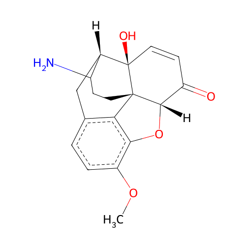 COc1ccc2c3c1O[C@H]1C(=O)C=C[C@@]4(O)[C@@H](C2)C(N)CC[C@]314